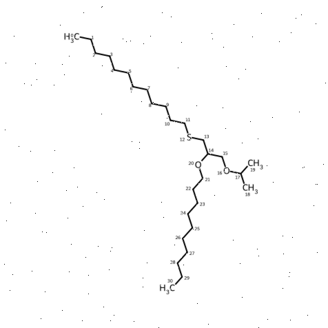 CCCCCCCCCCCCSCC(COC(C)C)OCCCCCCCCCC